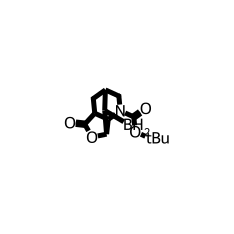 BC1C2CC3C(=O)OC1C3N(C(=O)OC(C)(C)C)C2